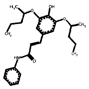 CCCC(C)Oc1cc(C=CC(=O)Nc2ccccc2)cc(OC(C)CCC)c1O